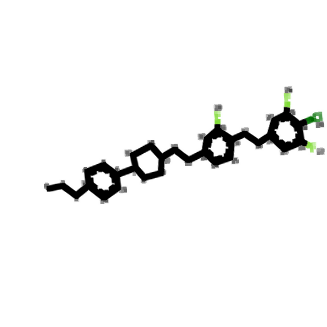 CCCc1ccc(C2CCC(CCc3ccc(CCc4cc(F)c(Cl)c(F)c4)c(F)c3)CC2)cc1